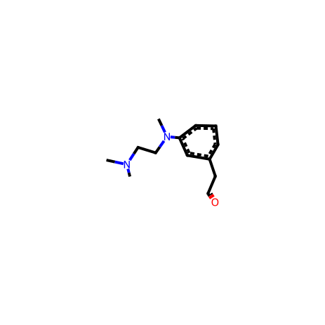 CN(C)CCN(C)c1cccc(CC=O)c1